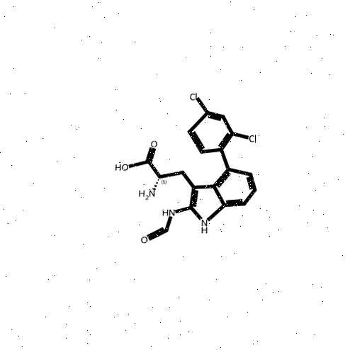 N[C@@H](Cc1c(NC=O)[nH]c2cccc(-c3ccc(Cl)cc3Cl)c12)C(=O)O